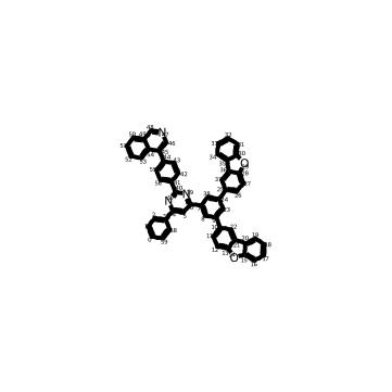 c1ccc(-c2cc(-c3cc(-c4ccc5oc6ccccc6c5c4)cc(-c4ccc5oc6ccccc6c5c4)c3)nc(-c3ccc(-c4cncc5ccccc45)cc3)n2)cc1